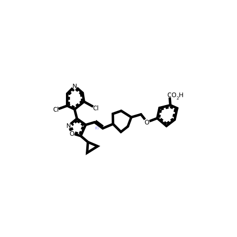 O=C(O)c1cccc(OCC2CCC(/C=C/c3c(-c4c(Cl)cncc4Cl)noc3C3CC3)CC2)c1